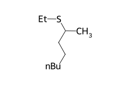 [CH2]CSC(C)CCCCCC